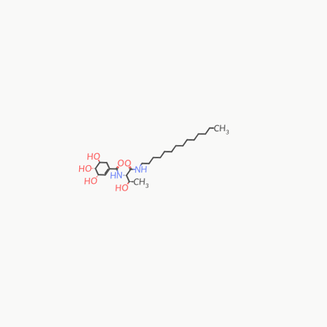 CCCCCCCCCCCCCCNC(=O)[C@@H](NC(=O)C1=C[C@H](O)[C@H](O)[C@@H](O)C1)[C@@H](C)O